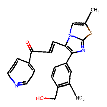 Cc1cn2c(/C=C/C(=O)c3ccncc3)c(-c3ccc(CO)c([N+](=O)[O-])c3)nc2s1